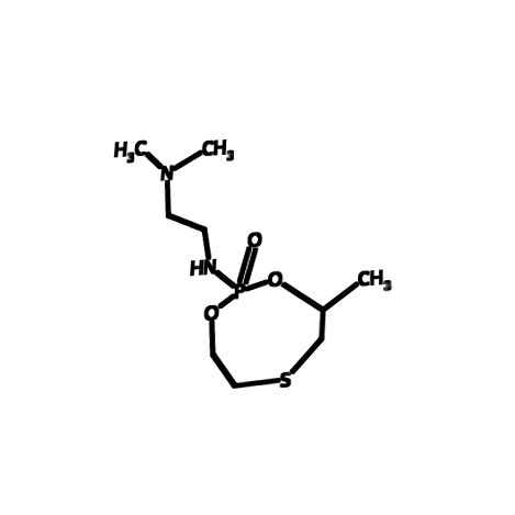 CC1CSCCOP(=O)(NCCN(C)C)O1